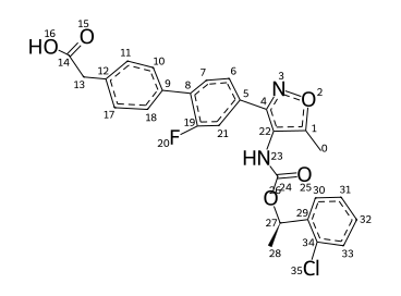 Cc1onc(-c2ccc(-c3ccc(CC(=O)O)cc3)c(F)c2)c1NC(=O)O[C@H](C)c1ccccc1Cl